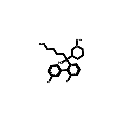 CCc1cccc(-c2c(Cl)cccc2[C@](O)(CCCCOC)C2CCCN(C=O)C2)c1